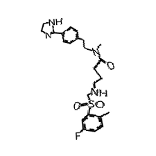 Cc1ccc(F)cc1S(=O)(=O)CNCCCC(=O)N(C)CCc1ccc(C2=NCCN2)cc1